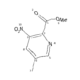 COC(=O)c1ncc(C)cc1[N+](=O)[O-]